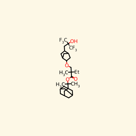 CCC(C)(COC1CC2CC1CC2CC(O)(C(F)(F)F)C(F)(F)F)C(=O)OC(C)(C)C12CC3CC(CC(C3)C1)C2